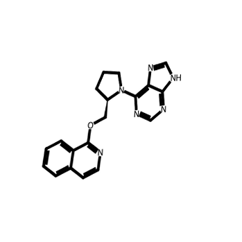 c1ccc2c(OC[C@H]3CCCN3c3ncnc4[nH]cnc34)nccc2c1